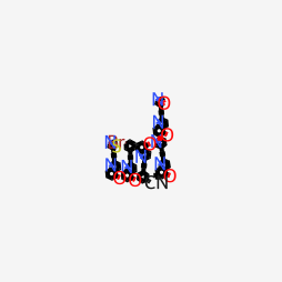 CC1(C)CC(=O)c2ccc(C#Cc3cccnc3)nc2C1.N#Cc1cccc(C#Cc2ccc3c(n2)CCCC3=O)c1.O=C1CCCc2nc(C#Cc3cccc(Br)c3)ccc21.O=C1CCCc2nc(C#Cc3cnco3)ccc21.O=C1CCCc2nc(C#Cc3cncs3)ccc21